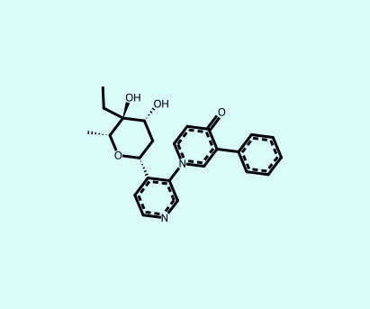 CC[C@]1(O)[C@H](O)C[C@H](c2ccncc2-n2ccc(=O)c(-c3ccccc3)c2)O[C@@H]1C